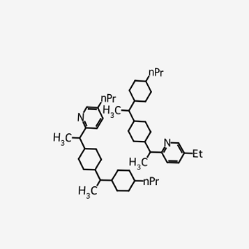 CCCC1CCC(C(C)C2CCC(C(C)c3ccc(CC)cn3)CC2)CC1.CCCc1ccc(C(C)C2CCC(C(C)C3CCC(CCC)CC3)CC2)nc1